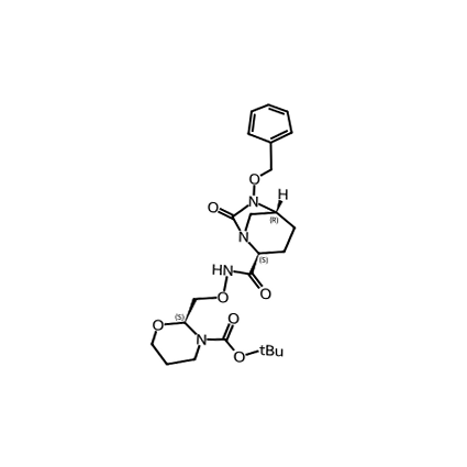 CC(C)(C)OC(=O)N1CCCO[C@H]1CONC(=O)[C@@H]1CC[C@@H]2CN1C(=O)N2OCc1ccccc1